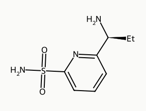 CC[C@H](N)c1cccc(S(N)(=O)=O)n1